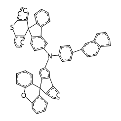 c1ccc2c(c1)Oc1ccccc1C21c2ccccc2-c2cc(N(c3ccc(-c4ccc5ccccc5c4)cc3)c3ccc4c(c3)-c3ccccc3C43c4ccccc4Sc4ccccc43)ccc21